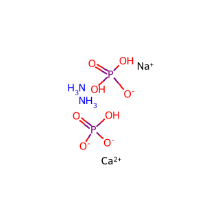 N.N.O=P([O-])(O)O.O=P([O-])([O-])O.[Ca+2].[Na+]